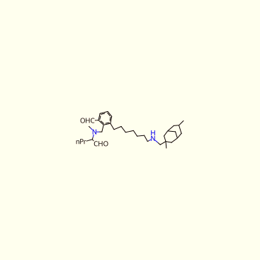 CCCC(C=O)N(C)Cc1c(C=O)cccc1CCCCCCCNCC1(C)CC2CC(C)CC(C2)C1